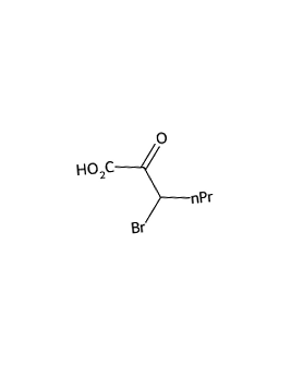 CCCC(Br)C(=O)C(=O)O